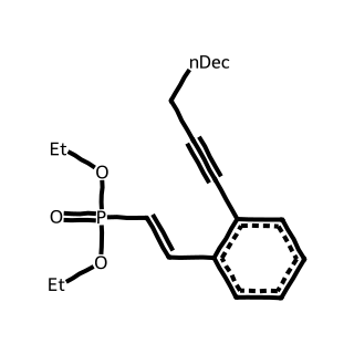 CCCCCCCCCCCC#Cc1ccccc1/C=C/P(=O)(OCC)OCC